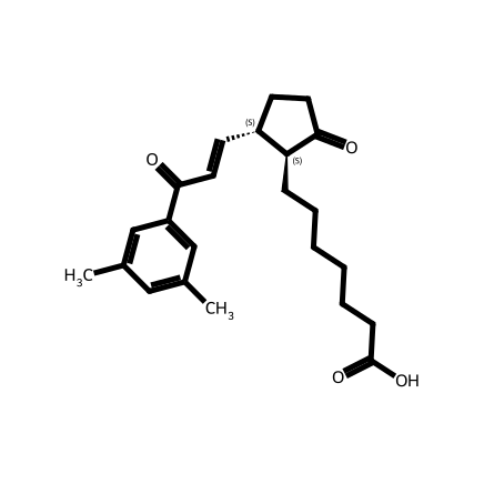 Cc1cc(C)cc(C(=O)C=C[C@@H]2CCC(=O)[C@H]2CCCCCCC(=O)O)c1